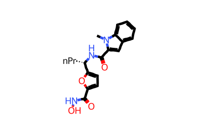 CCC[C@H](NC(=O)c1cc2ccccc2n1C)c1ccc(C(=O)NO)o1